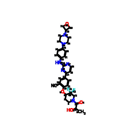 C[C@@H](O)C(=O)N1CCC(Oc2ccc(-c3ccnc(Nc4ccc(N5CCN(C6COC6)CC5)cc4)n3)cc2C#N)C(F)(F)C1